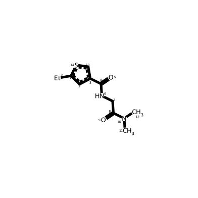 CCc1cc(C(=O)NCC(=O)N(C)C)cs1